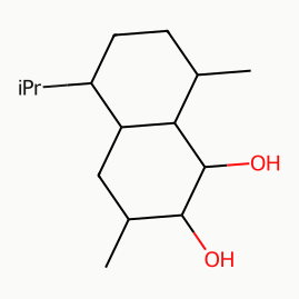 CC(C)C1CCC(C)C2C(O)C(O)C(C)CC12